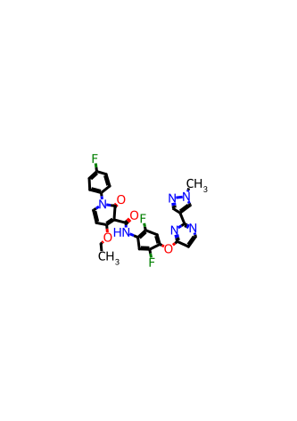 CCOc1ccn(-c2ccc(F)cc2)c(=O)c1C(=O)Nc1cc(F)c(Oc2ccnc(-c3cnn(C)c3)n2)cc1F